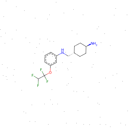 N[C@H]1CC[C@H](CNc2cccc(OC(F)(F)C(F)F)c2)CC1